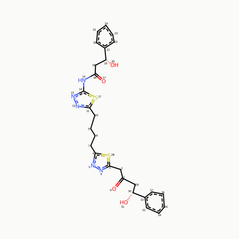 O=C(Cc1nnc(CCCCc2nnc(NC(=O)C[C@@H](O)c3ccccc3)s2)s1)C[C@@H](O)c1ccccc1